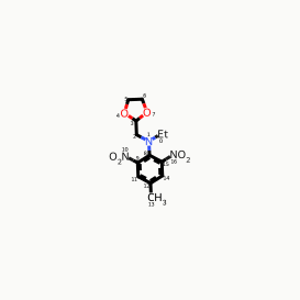 CCN(CC1OCCO1)c1c([N+](=O)[O-])cc(C)cc1[N+](=O)[O-]